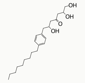 CCCCCCCCCc1ccc(CC(O)CC(=O)CC(O)CO)cc1